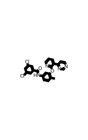 Cc1ccc(NC(=O)c2cc(Cl)cc(Cl)c2)cc1Oc1ncccc1-c1ccncn1